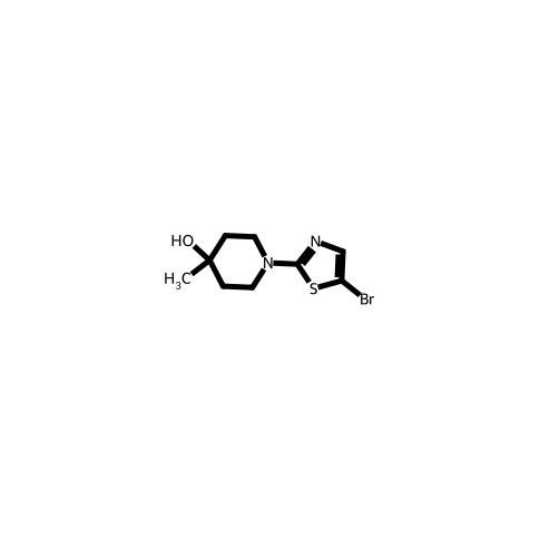 CC1(O)CCN(c2ncc(Br)s2)CC1